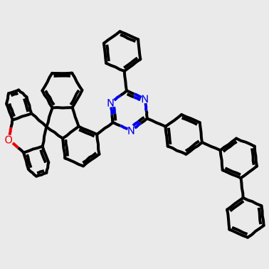 c1ccc(-c2cccc(-c3ccc(-c4nc(-c5ccccc5)nc(-c5cccc6c5-c5ccccc5C65c6ccccc6Oc6ccccc65)n4)cc3)c2)cc1